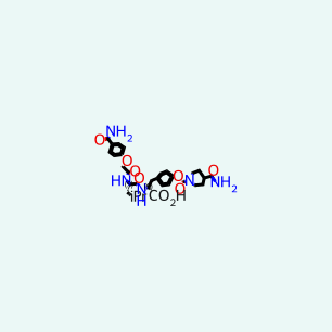 CC(C)C[C@H](NC(=O)COc1ccc(C(N)=O)cc1)C(=O)N[C@@H](Cc1ccc(OC(=O)N2CCC(C(N)=O)CC2)cc1)C(=O)O